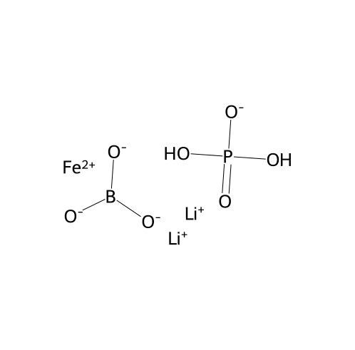 O=P([O-])(O)O.[Fe+2].[Li+].[Li+].[O-]B([O-])[O-]